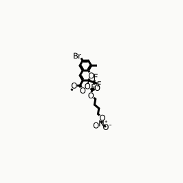 COC(=O)C1=Cc2cc(Br)cc(C)c2O[C@]1(OC(=O)OCCCCO[N+](=O)[O-])C(F)(F)F